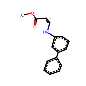 COC(=O)/C=C\Nc1cccc(-c2ccccc2)c1